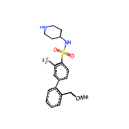 COCc1ccccc1-c1ccc(S(=O)(=O)NC2CCNCC2)c(C(F)(F)F)c1